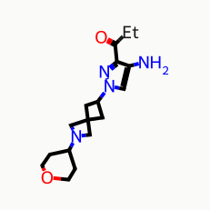 CCC(=O)c1nn(C2CC3(C2)CN(C2CCOCC2)C3)cc1N